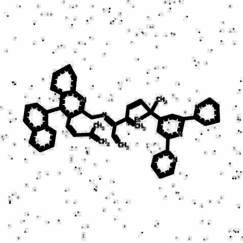 C=C/C(=N\Cc1nc2ccccc2c(-c2cccc3ccccc23)c1/C=C\C(=C)C)C(=C)/C=C\C(C)(CC)c1cc(-c2ccccn2)nc(-c2ccccn2)c1